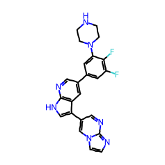 Fc1cc(-c2cnc3[nH]cc(-c4cnc5nccn5c4)c3c2)cc(N2CCNCC2)c1F